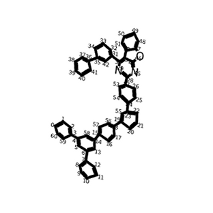 c1ccc(-c2cc(-c3ccccc3)cc(-c3ccc(-c4cccc(-c5ccc(-c6nc(-c7cccc(-c8ccccc8)c7)c7c(n6)oc6ccccc67)cc5)c4)cc3)c2)cc1